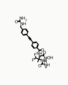 CNC(=O)NC(C)(C(F)F)[C@H](NC(=O)c1ccc(C#Cc2ccc(CNC(N)=O)cc2)cc1)C(=O)NO